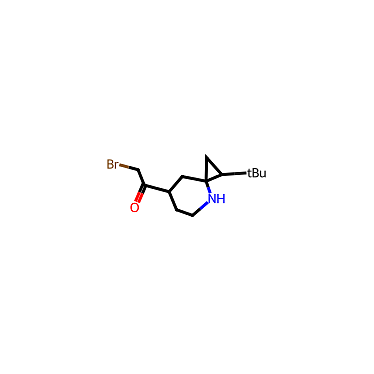 CC(C)(C)C1CC12CC(C(=O)CBr)CCN2